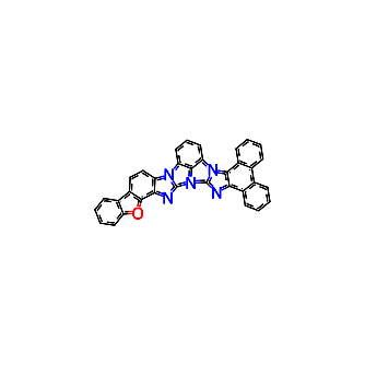 c1ccc2c(c1)oc1c2ccc2c1nc1n2c2cccc3c2n1c1nc2c4ccccc4c4ccccc4c2n31